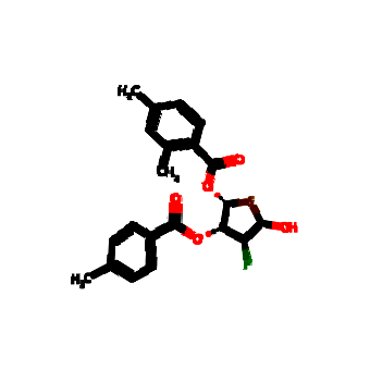 Cc1ccc(C(=O)O[C@@H]2[C@H](OC(=O)c3ccc(C)cc3C)SC(O)[C@H]2F)cc1